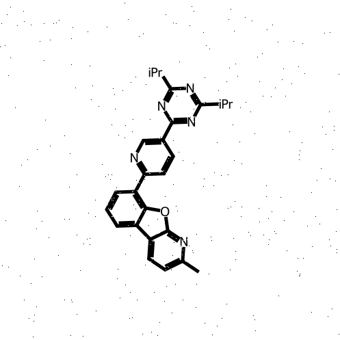 Cc1ccc2c(n1)oc1c(-c3ccc(-c4nc(C(C)C)nc(C(C)C)n4)cn3)cccc12